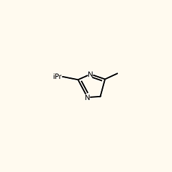 CC1=NC(C(C)C)=NC1